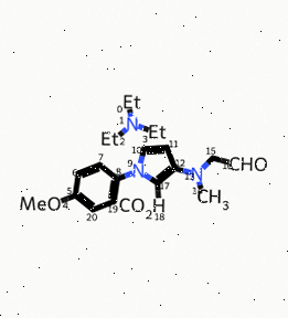 CCN(CC)CC.COc1ccc(-n2ccc(N(C)CC=O)c2C(=O)O)cc1